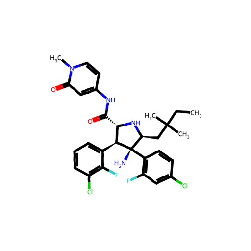 CCC(C)(C)C[C@@H]1N[C@@H](C(=O)Nc2ccn(C)c(=O)c2)[C@H](c2cccc(Cl)c2F)[C@@]1(N)c1ccc(Cl)cc1F